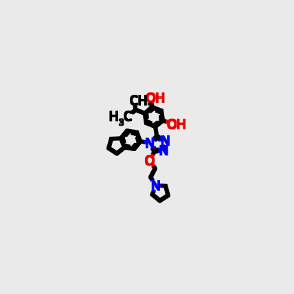 CC(C)c1cc(-c2nnc(OCCN3CCCC3)n2-c2ccc3c(c2)CCC3)c(O)cc1O